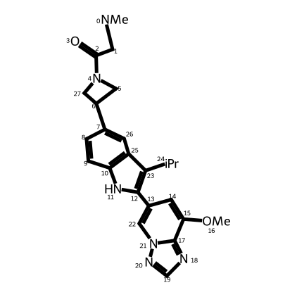 CNCC(=O)N1CC(c2ccc3[nH]c(-c4cc(OC)c5ncnn5c4)c(C(C)C)c3c2)C1